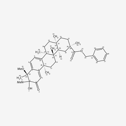 CNC1(O)C(=O)C=C2C(=CC=C3[C@@]2(C)CC[C@@]2(C)[C@@H]4C[C@](C)(C(=O)OCc5ccccc5)CC[C@]4(C)CC[C@]32C)[C@]1(C)OC